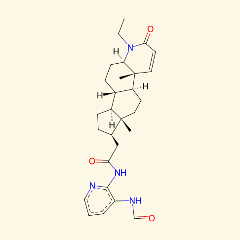 CCN1C(=O)C=C[C@]2(C)[C@H]3CC[C@]4(C)[C@@H](CC(=O)Nc5ncccc5NC=O)CC[C@H]4[C@@H]3CC[C@@H]12